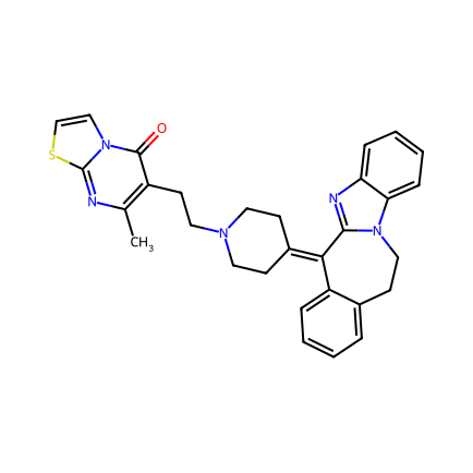 Cc1nc2sccn2c(=O)c1CCN1CCC(=C2c3ccccc3CCn3c2nc2ccccc23)CC1